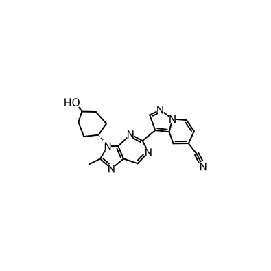 Cc1nc2cnc(-c3cnn4ccc(C#N)cc34)nc2n1[C@H]1CC[C@H](O)CC1